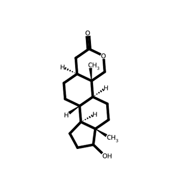 C[C@]12COC(=O)C[C@@H]1CC[C@@H]1[C@@H]2CC[C@]2(C)C(O)CC[C@@H]12